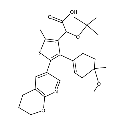 COC1(C)CC=C(c2c(-c3cnc4c(c3)CCCO4)sc(C)c2C(OC(C)(C)C)C(=O)O)CC1